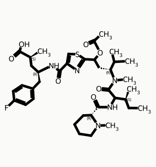 CC[C@H](C)C(NC(=O)[C@H]1CCCCN1C)C(=O)N(C)[C@H](CC(OC(C)=O)c1nc(C(=O)N[C@@H](Cc2ccc(F)cc2)C[C@H](C)C(=O)O)cs1)C(C)C